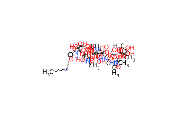 CCCCCC/C=C\CCCOc1cccc(C(=O)N[C@@H]2C(O[C@H]3C(O)C(NC(C)=O)[C@H](OC4C(CO)O[C@@H](O[C@H]5C(O)C(NC(C)=O)C(OC(CO)C(CO[C@@H]6OC(C)C(O)[C@H](O)[C@H]6OC)OC(O)[C@H](C)NC(C)=O)O[C@H]5CO)[C@@H](NC(C)=O)[C@H]4O)O[C@H]3CO)OC(CO)[C@@H](O)[C@@H]2O)c1